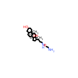 C[C@]12CCC(O)CC1CC[C@@H]1[C@H]2CC[C@]2(C)C(CCCNOCCN)CC[C@@]12O